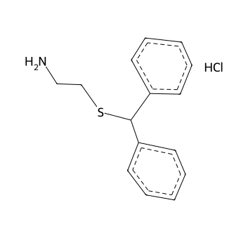 Cl.NCCSC(c1ccccc1)c1ccccc1